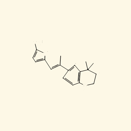 CC(=Cc1ccc(C(=O)O)s1)c1ccc2c(c1)C(C)(C)CCO2